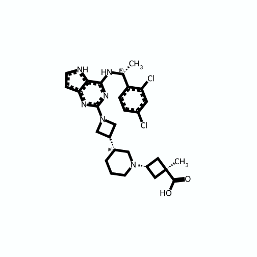 C[C@@H](Nc1nc(N2CC([C@H]3CCCN([C@H]4C[C@](C)(C(=O)O)C4)C3)C2)nc2cc[nH]c12)c1ccc(Cl)cc1Cl